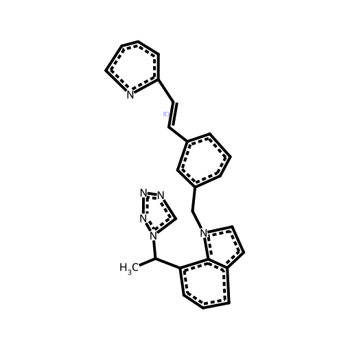 CC(c1cccc2ccn(Cc3cccc(/C=C/c4ccccn4)c3)c12)n1cnnn1